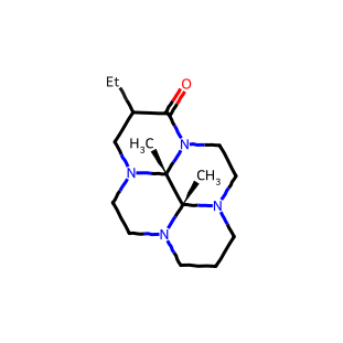 CCC1CN2CCN3CCCN4CCN(C1=O)[C@]2(C)[C@@]34C